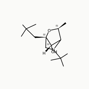 C[C@@H]1O[C@@]2(CC(C)(C)C)CN(C(C)(C)C)C1[C@@H]2O